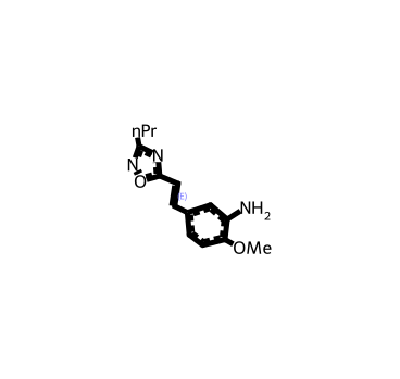 CCCc1noc(/C=C/c2ccc(OC)c(N)c2)n1